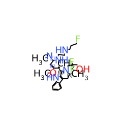 C=C(/C(=C\C(=N/C)NCCNCCCF)OC)[C@@H]1c2[nH]c3ccccc3c2C[C@@H](C)N1CC(F)(F)CO